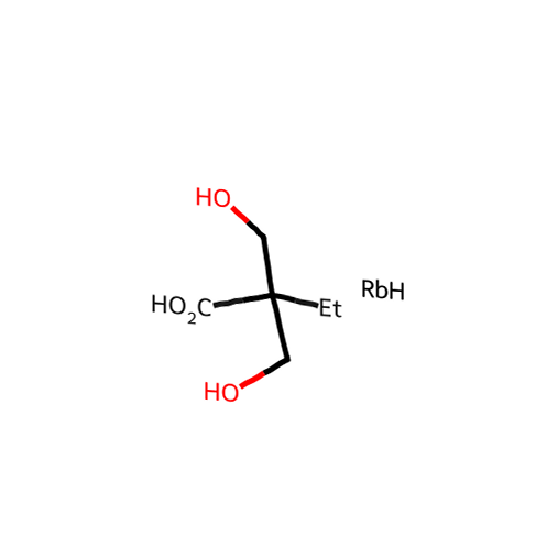 CCC(CO)(CO)C(=O)O.[RbH]